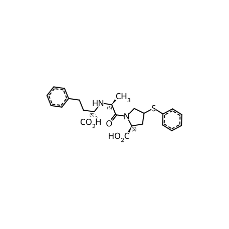 C[C@H](N[C@@H](CCc1ccccc1)C(=O)O)C(=O)N1CC(Sc2ccccc2)C[C@H]1C(=O)O